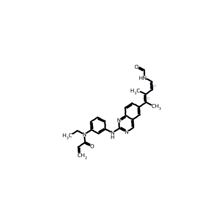 C=CC(=O)N(CC)c1cccc(Nc2ncc3cc(/C(C)=C(C)/C=C\NC=O)ccc3n2)c1